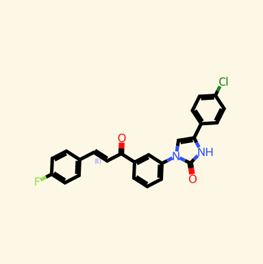 O=C(/C=C/c1ccc(F)cc1)c1cccc(-n2cc(-c3ccc(Cl)cc3)[nH]c2=O)c1